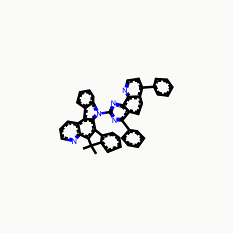 CC1(C)c2ccccc2-c2c1c1ncccc1c1c3ccccc3n(-c3nc(-c4ccccc4)c4ccc5c(-c6ccccc6)ccnc5c4n3)c21